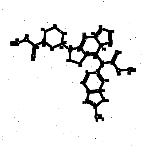 Cc1nc2ccc(N(C(=O)OC(C)(C)C)c3c4c(nc5ccnn35)N([C@H]3CCCN(C(=O)OC(C)(C)C)C3)CC4)cc2s1